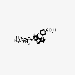 C[C@@H]1CCN(C(=O)O)C[C@@H]1n1ccc2cnc3c(ccn3COCC[Si](C)(C)C)c21